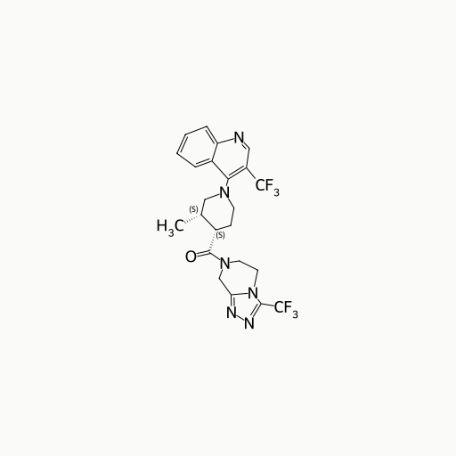 C[C@@H]1CN(c2c(C(F)(F)F)cnc3ccccc23)CC[C@@H]1C(=O)N1CCn2c(nnc2C(F)(F)F)C1